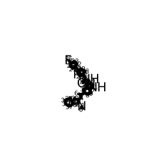 C=N/C=C(\C=C(/C)c1ccc2[nH]nc(C(=O)Nc3ccc(-c4ccc(F)cc4)nc3)c2c1)CN1CCCCC1